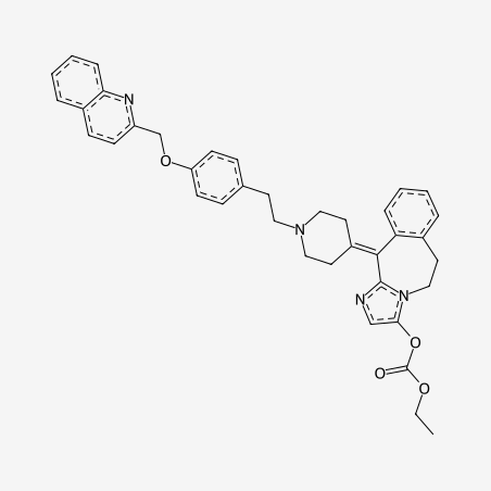 CCOC(=O)Oc1cnc2n1CCc1ccccc1C2=C1CCN(CCc2ccc(OCc3ccc4ccccc4n3)cc2)CC1